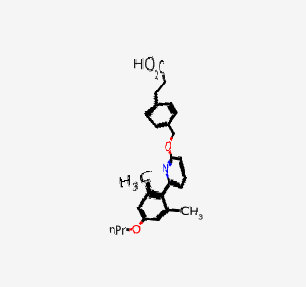 CCCOc1cc(C)c(-c2cccc(OCc3ccc(CCC(=O)O)cc3)n2)c(C)c1